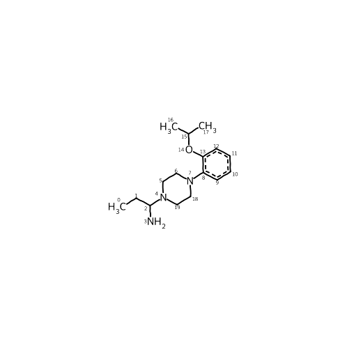 CCC(N)N1CCN(c2ccccc2OC(C)C)CC1